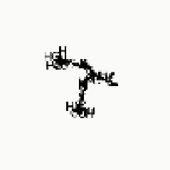 CCCSCC(CCC(=O)NC(C)(COCc1cn(CCCSCCC(=O)NC(CO)(CO)CO)nn1)COCc1cn(CCCSCCC(=O)NC(CO)(CO)CO)nn1)SCCC